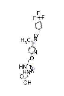 C/C(=N\OCc1ccc(C(F)(F)F)cc1)c1ccc(OCC(=N)/N=N\NCC(=O)O)nc1